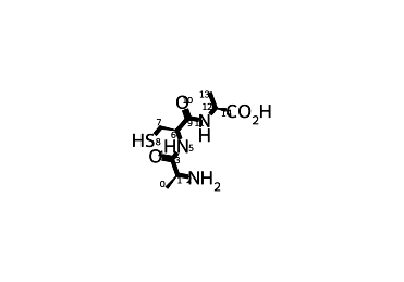 C[C@H](N)C(=O)N[C@@H](CS)C(=O)N[C@@H](C)C(=O)O